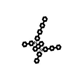 c1ccc(-c2ccc(-c3ccc(-c4ccc(N(c5ccc(-c6ccccc6)cc5)c5c6ccccc6c(N(c6ccc(-c7ccccc7)cc6)c6ccc(-c7ccc(-c8ccccc8)cc7)cc6)c6ccccc56)cc4)cc3)cc2)cc1